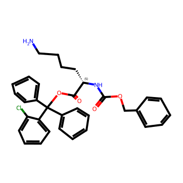 NCCCC[C@H](NC(=O)OCc1ccccc1)C(=O)OC(c1ccccc1)(c1ccccc1)c1ccccc1Cl